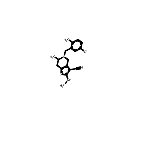 CNc1sc2c(c1C#N)CN(Cc1cc(Cl)ccc1C)C(C)C2